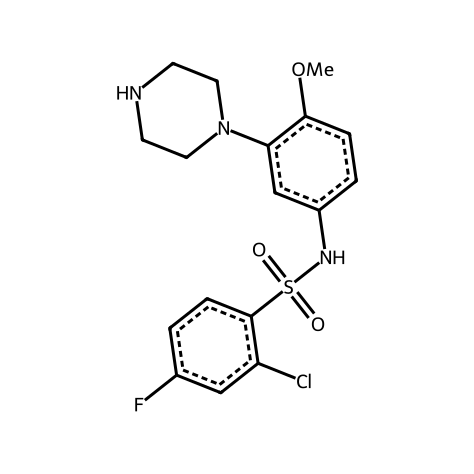 COc1ccc(NS(=O)(=O)c2ccc(F)cc2Cl)cc1N1CCNCC1